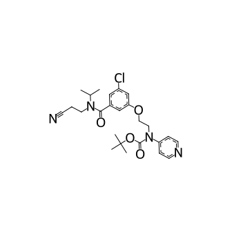 CC(C)N(CCC#N)C(=O)c1cc(Cl)cc(OCCN(C(=O)OC(C)(C)C)c2ccncc2)c1